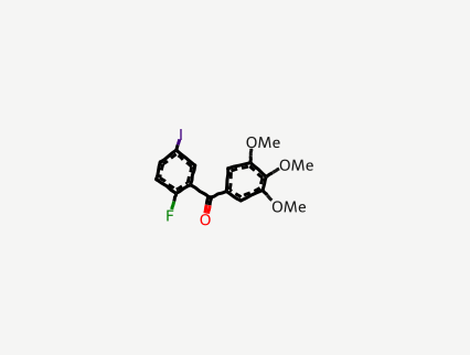 COc1cc(C(=O)c2cc(I)ccc2F)cc(OC)c1OC